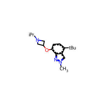 CC(C)N1CC(Oc2ccc(C(C)(C)C)c3cn(C)nc23)C1